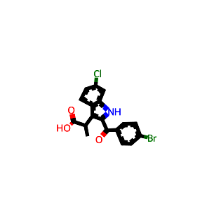 CC(C(=O)O)c1c(C(=O)c2ccc(Br)cc2)[nH]c2cc(Cl)ccc12